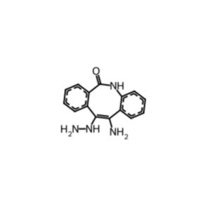 NN/C1=C(\N)c2ccccc2NC(=O)c2ccccc21